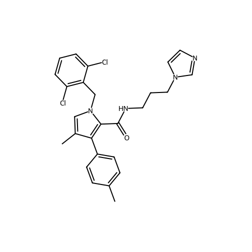 Cc1ccc(-c2c(C)cn(Cc3c(Cl)cccc3Cl)c2C(=O)NCCCn2ccnc2)cc1